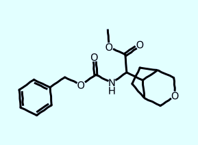 COC(=O)C(NC(=O)OCc1ccccc1)C1C2CCC1COC2